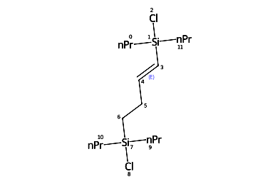 CCC[Si](Cl)(/C=C/CC[Si](Cl)(CCC)CCC)CCC